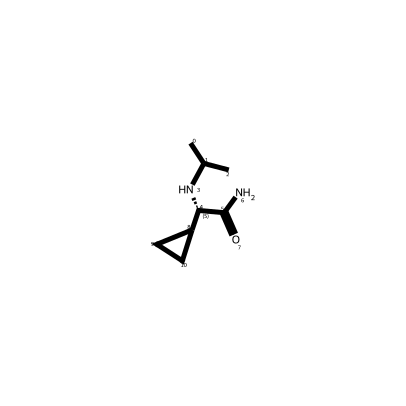 CC(C)N[C@H](C(N)=O)C1CC1